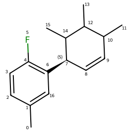 Cc1ccc(F)c([C@@H]2C=CC(C)C(C)C2C)c1